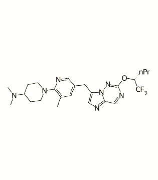 CCC[C@@H](Oc1ncc2ncc(Cc3cnc(N4CCC(N(C)C)CC4)c(C)c3)n2n1)C(F)(F)F